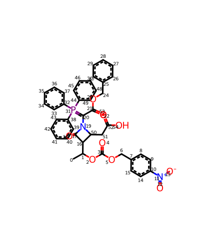 CC(OC(=O)OCc1ccc([N+](=O)[O-])cc1)C1C(=O)N(C(C(=O)OCc2ccccc2)=P(c2ccccc2)(c2ccccc2)c2ccccc2)C1CC(=O)O